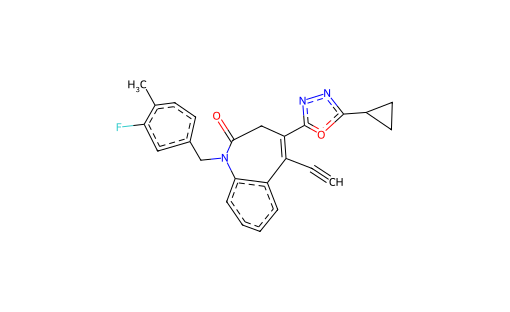 C#CC1=C(c2nnc(C3CC3)o2)CC(=O)N(Cc2ccc(C)c(F)c2)c2ccccc21